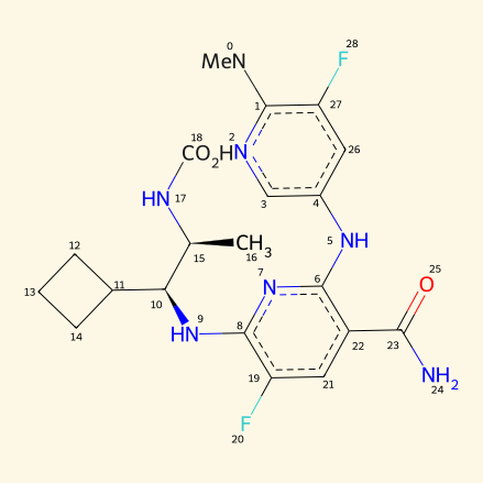 CNc1ncc(Nc2nc(N[C@@H](C3CCC3)[C@H](C)NC(=O)O)c(F)cc2C(N)=O)cc1F